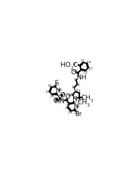 CC1(C)C[C@H](CCCNC(=O)c2ccccc2C(=O)O)CN1c1nc(Br)ccc1C(=O)NS(=O)(=O)c1cccc(F)n1